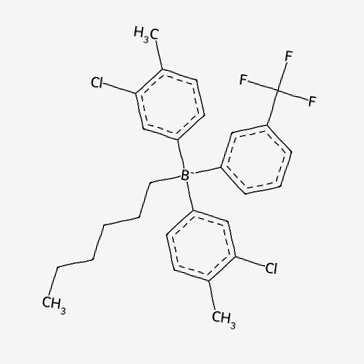 CCCCCC[B-](c1cccc(C(F)(F)F)c1)(c1ccc(C)c(Cl)c1)c1ccc(C)c(Cl)c1